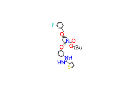 CC(C)(C)OC(=O)N1C[C@H](OCc2cccc(F)c2)C[C@H]1COc1cccc(NC(=N)c2cccs2)c1